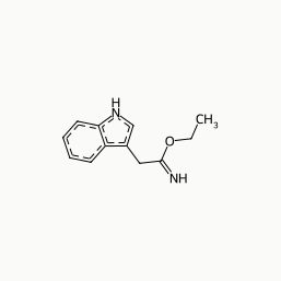 CCOC(=N)Cc1c[nH]c2ccccc12